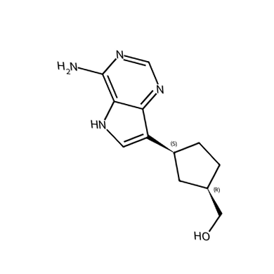 Nc1ncnc2c([C@H]3CC[C@@H](CO)C3)c[nH]c12